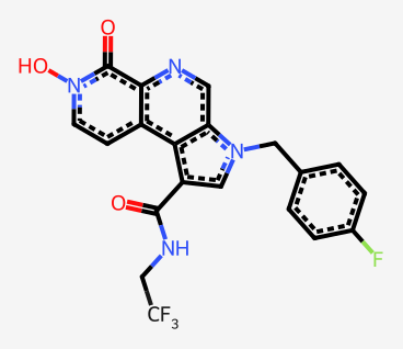 O=C(NCC(F)(F)F)c1cn(Cc2ccc(F)cc2)c2cnc3c(=O)n(O)ccc3c12